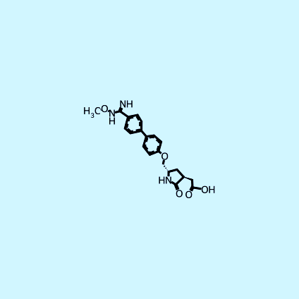 CONC(=N)c1ccc(-c2ccc(OC[C@@H]3C[C@@H](CC(=O)O)C(=O)N3)cc2)cc1